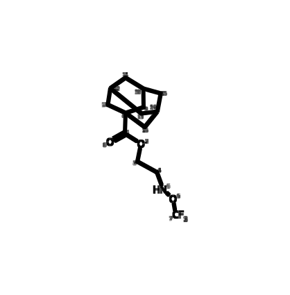 O=C(OCCNOC(F)(F)F)C12CC3CC(CC(C3)C1)C2